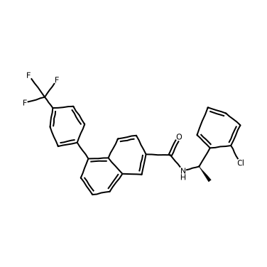 C[C@@H](NC(=O)c1ccc2c(-c3ccc(C(F)(F)F)cc3)cccc2c1)c1ccccc1Cl